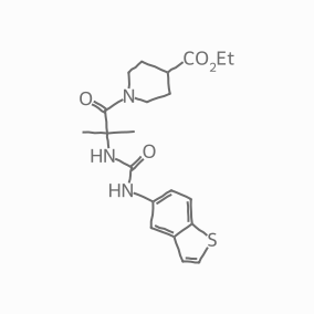 CCOC(=O)C1CCN(C(=O)C(C)(C)NC(=O)Nc2ccc3sccc3c2)CC1